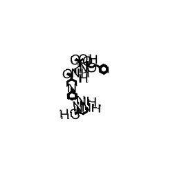 O=C(N[C@@H](CNC(=O)C1CCN(c2cccc(NC3=NC(O)CCN3)c2)CC1)C(=O)O)OCc1ccccc1